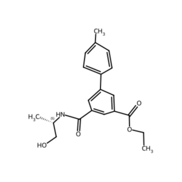 CCOC(=O)c1cc(C(=O)N[C@@H](C)CO)cc(-c2ccc(C)cc2)c1